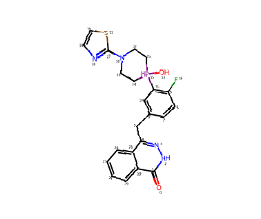 O=c1[nH]nc(Cc2ccc(F)c([PH]3(O)CCN(c4nccs4)CC3)c2)c2ccccc12